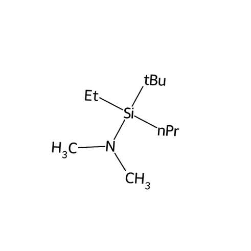 CCC[Si](CC)(N(C)C)C(C)(C)C